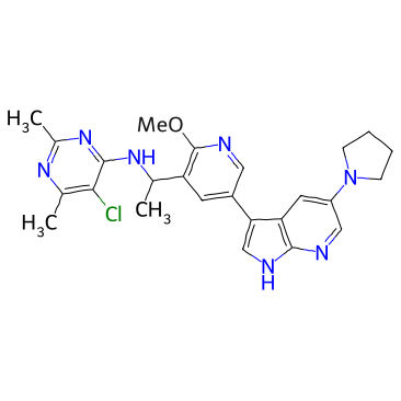 COc1ncc(-c2c[nH]c3ncc(N4CCCC4)cc23)cc1C(C)Nc1nc(C)nc(C)c1Cl